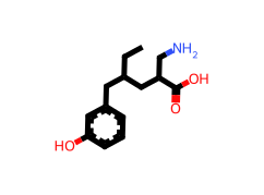 CCC(Cc1cccc(O)c1)CC(CN)C(=O)O